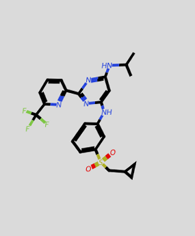 CC(C)Nc1cc(Nc2cccc(S(=O)(=O)CC3CC3)c2)nc(-c2cccc(C(F)(F)F)n2)n1